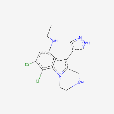 CCNc1cc(Cl)c(Cl)c2c1c(-c1cn[nH]c1)c1n2CCNC1